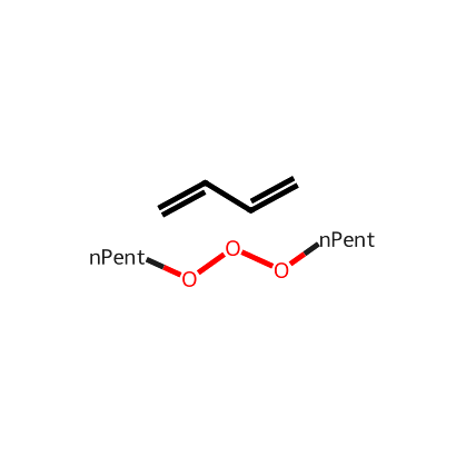 C=CC=C.CCCCCOOOCCCCC